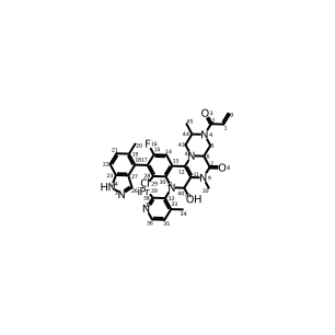 C=CC(=O)N1CC2C(=O)N(C)C3=C(c4cc(F)c(-c5c(C)ccc6[nH]ncc56)c(Cl)c4N(c4c(C)ccnc4C(C)C)C3O)N2CC1C